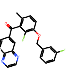 Cc1ccc(OCc2cccc(F)c2)c(F)c1C(=O)c1ccc2nccnc2c1